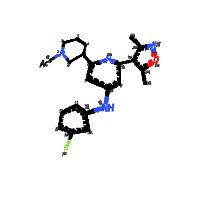 CC(=O)N1CCCC(c2cc(Nc3cccc(F)c3)cc(-c3c(C)noc3C)n2)C1